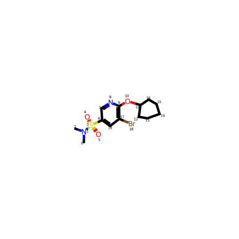 CN(C)S(=O)(=O)c1cnc(OC2CCCCC2)c(Br)c1